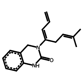 C=C/C=C(\CC=C(C)C)N1Cc2ccccc2NC1=O